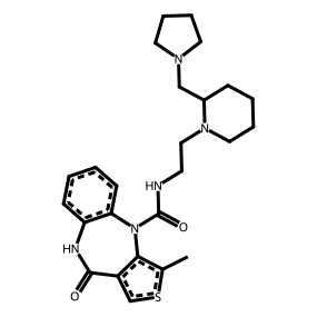 Cc1scc2c1N(C(=O)NCCN1CCCCC1CN1CCCC1)c1ccccc1NC2=O